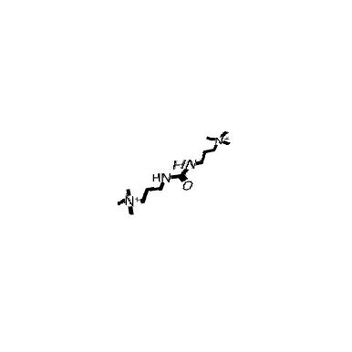 C[N+](C)(C)CCCNC(=O)NCCC[N+](C)(C)C